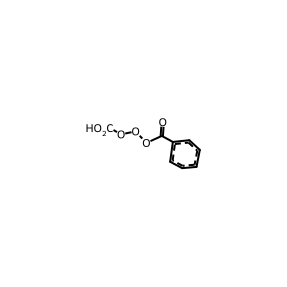 O=C(O)OOOC(=O)c1ccccc1